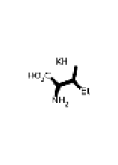 CCC(C)C(N)C(=O)O.[KH]